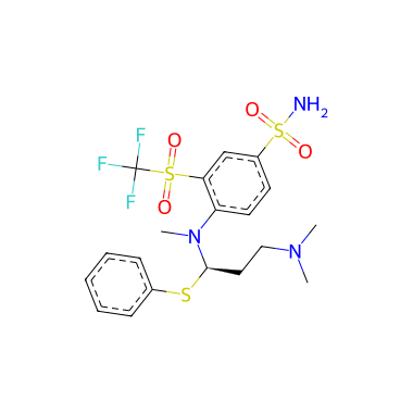 CN(C)CC[C@@H](Sc1ccccc1)N(C)c1ccc(S(N)(=O)=O)cc1S(=O)(=O)C(F)(F)F